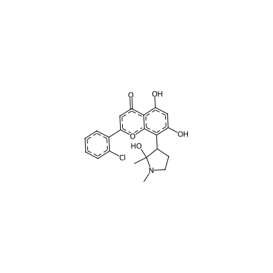 CN1CCC(c2c(O)cc(O)c3c(=O)cc(-c4ccccc4Cl)oc23)C1(C)O